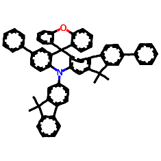 CC1(C)c2ccccc2-c2ccc(N3c4ccc(-c5ccccc5)cc4C4(c5ccccc5Oc5ccccc54)c4cc5c(cc43)C(C)(C)c3cc(-c4ccccc4)ccc3-5)cc21